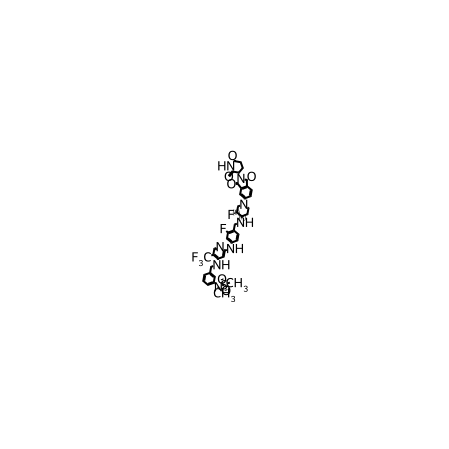 CN(c1cccc(CNc2cc(Nc3ccc(CN[C@@H]4CCN(c5ccc6c(c5)C(=O)N(C5CCC(=O)NC5=O)C6=O)C[C@@H]4F)c(F)c3)ncc2C(F)(F)F)c1)S(C)(=O)=O